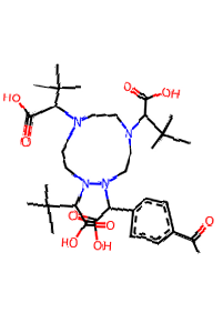 CC(=O)c1ccc(C(C(=O)O)N2CCN(C(C(=O)O)C(C)(C)C)CCN(C(C(=O)O)C(C)(C)C)CCN2C(C(=O)O)C(C)(C)C)cc1